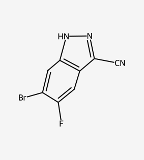 N#Cc1n[nH]c2cc(Br)c(F)cc12